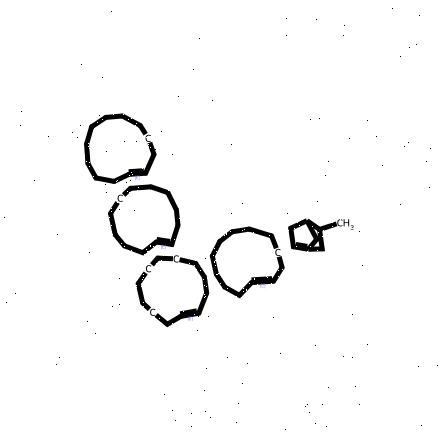 C1=C/CCCCCCCCCC/1.C1=C/CCCCCCCCCC/1.C1=C/CCCCCCCCCC/1.C1=C/CCCCCCCCCC/1.CC1CC2=CCC1C2